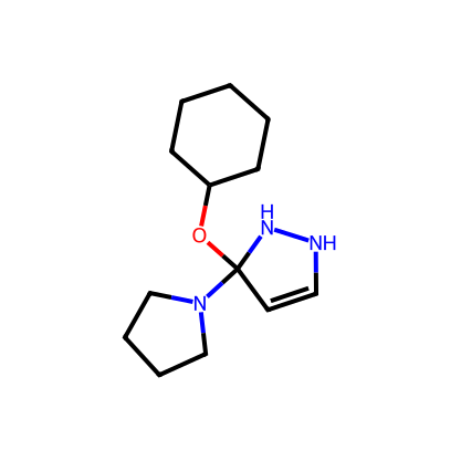 C1=CC(OC2CCCCC2)(N2CCCC2)NN1